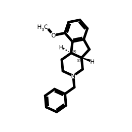 COc1cccc2c1[C@@H]1CCN(Cc3ccccc3)C[C@H]1C2